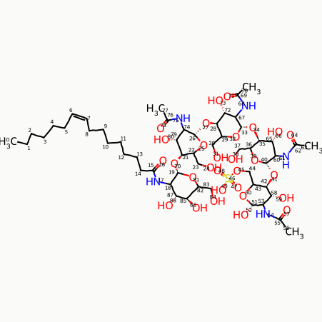 CCCCCC/C=C\CCCCCCCC(=O)NC1[C@H](O[C@@H]2C(CO)O[C@@H](O[C@@H]3C(CO)O[C@@H](O[C@@H]4C(CO)O[C@@H](O[C@@H]5C(COS(=O)(=O)O)O[C@@H](O)C(NC(C)=O)[C@H]5O)C(NC(C)=O)[C@H]4O)C(NC(C)=O)[C@H]3O)C(NC(C)=O)[C@H]2O)OC(CO)[C@@H](O)[C@@H]1O